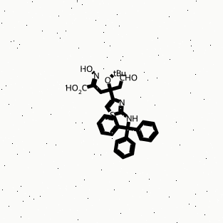 CC(C)(C)OC(CC=O)(CC(=NO)C(=O)O)c1csc(NC(c2ccccc2)(c2ccccc2)c2ccccc2)n1